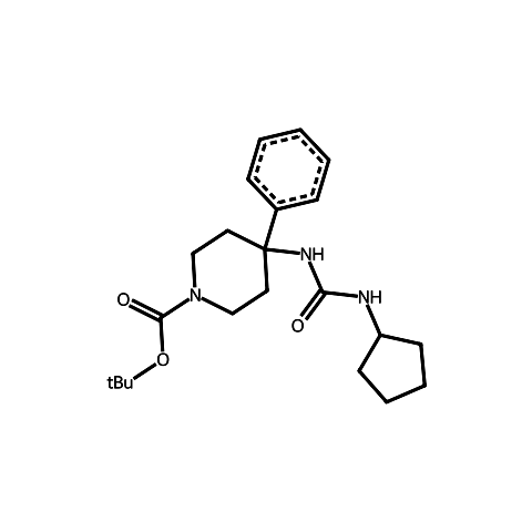 CC(C)(C)OC(=O)N1CCC(NC(=O)NC2CCCC2)(c2ccccc2)CC1